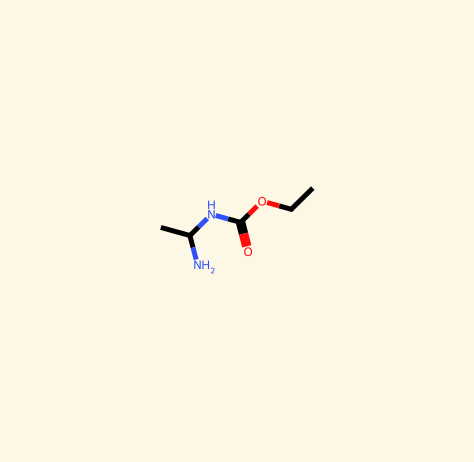 CCOC(=O)NC(C)N